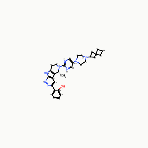 C[C@@H]1c2c([nH]c3nnc(-c4ccccc4O)cc23)CCN1c1ncc(N2CCN(C3CC4(CCC4)C3)CC2)cn1